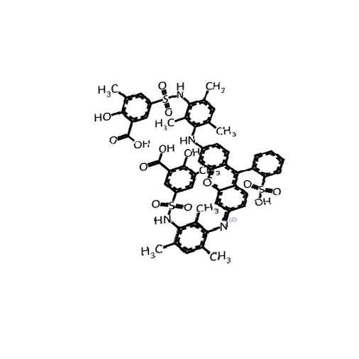 Cc1cc(S(=O)(=O)Nc2c(C)cc(C)c(/N=c3/ccc4c(-c5ccccc5S(=O)(=O)O)c5ccc(Nc6c(C)cc(C)c(NS(=O)(=O)c7cc(C)c(O)c(C(=O)O)c7)c6C)cc5oc-4c3)c2C)cc(C(=O)O)c1O